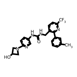 Cc1cccc(-c2nc(C(F)(F)F)ccc2CNC(=O)Nc2ccc(N3CC(O)C3)nc2)c1